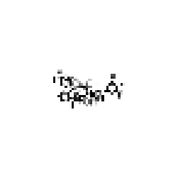 OC[C@@H]1[C@H](O)[C@@H](n2cc(-c3cc(F)c(F)c(F)c3)nn2)[C@@H](O)C[SH]1C(c1ccccc1C(F)(F)F)C1(O)CCC(F)(F)CC1